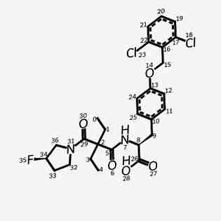 CCC(CC)(C(=O)N[C@@H](Cc1ccc(OCc2c(Cl)cccc2Cl)cc1)C(=O)O)C(=O)N1CC[C@@H](F)C1